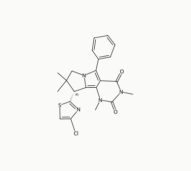 Cn1c(=O)c2c(-c3ccccc3)n3c(c2n(C)c1=O)[C@H](c1nc(Cl)cs1)C(C)(C)C3